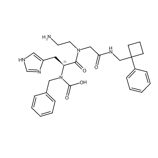 NCCN(CC(=O)NCC1(c2ccccc2)CCC1)C(=O)[C@H](Cc1c[nH]cn1)N(Cc1ccccc1)C(=O)O